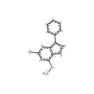 COc1nc(Cl)nc2c(-c3ccccc3)[nH]nc12